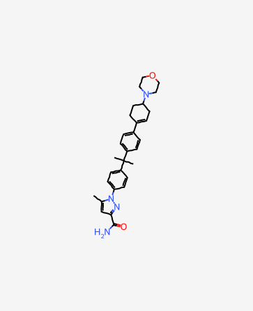 Cc1cc(C(N)=O)nn1-c1ccc(C(C)(C)c2ccc(C3=CCC(N4CCOCC4)CC3)cc2)cc1